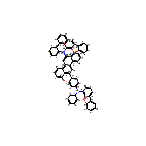 c1ccc(-c2ccccc2N(c2cc3c4cccc5c4c(cc3c3ccccc23)-c2ccc(N(c3ccccc3)c3cccc4c3oc3ccccc34)cc2O5)c2cccc3c2oc2ccccc23)cc1